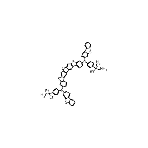 CCC(C)(CC)c1ccc(N(c2ccc3c(c2)sc2ccccc23)c2ccc3c(c2)sc2cc4oc5cc6sc7cc(N(c8ccc(C(C)(CN)C(C)C)cc8)c8ccc9c(c8)sc8ccccc89)ccc7c6cc5c4cc23)cc1